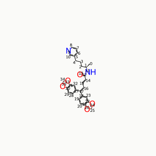 C[C@H](CCCc1cccnc1)NC(=O)/C=C/C=C(c1ccc2c(c1)OCO2)c1ccc2c(c1)OCO2